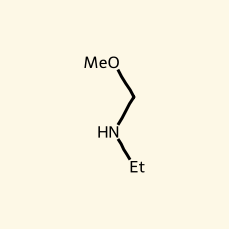 [CH2]OCNCC